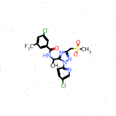 CC(NC(=O)c1cc(Cl)cc(C(F)(F)F)c1)c1nc(CS(C)(=O)=O)nn1-c1ccc(Cl)cn1